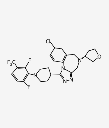 Fc1ccc(C(F)(F)F)c(F)c1N1CCC(c2nnc3n2C2=C(CC(Cl)C=C2)CN([C@H]2CCOC2)C3)CC1